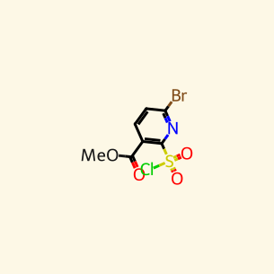 COC(=O)c1ccc(Br)nc1S(=O)(=O)Cl